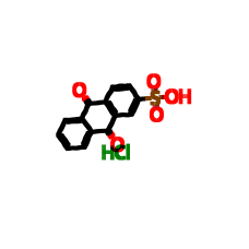 Cl.O=C1c2ccccc2C(=O)c2cc(S(=O)(=O)O)ccc21